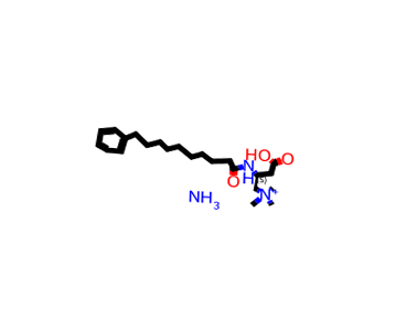 C[N+](C)(C)C[C@H](CC(=O)O)NC(=O)CCCCCCCCCc1ccccc1.N